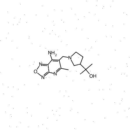 Cc1nc2nonc2c(N)c1CN1CCC(C(C)(C)O)C1